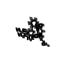 CCCCN1CCN(c2ccccc2C2CC(C)(C)CC(C)(C)C2)CC1.Cl